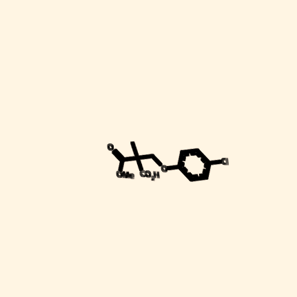 COC(=O)C(C)(COc1ccc(Cl)cc1)C(=O)O